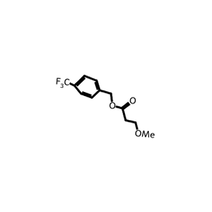 COCCC(=O)OCc1ccc(C(F)(F)F)cc1